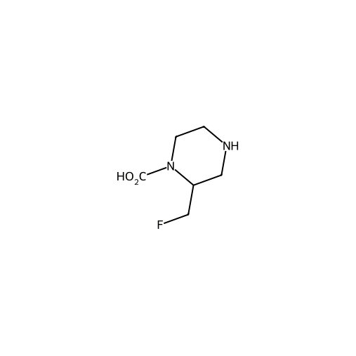 O=C(O)N1CCNCC1CF